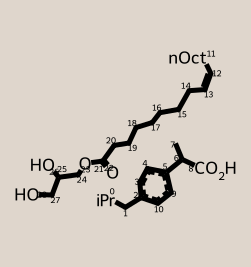 CC(C)Cc1ccc(C(C)C(=O)O)cc1.CCCCCCCC/C=C\CCCCCCCC(=O)OCC(O)CO